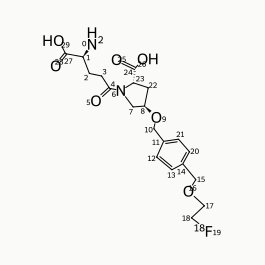 N[C@@H](CCC(=O)N1C[C@H](OCc2ccc(COCC[18F])cc2)C[C@H]1C(=O)O)C(=O)O